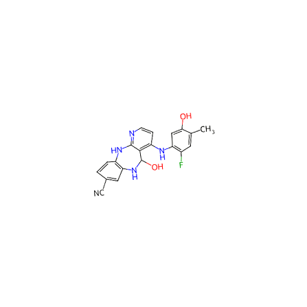 Cc1cc(F)c(Nc2ccnc3c2C(O)Nc2cc(C#N)ccc2N3)cc1O